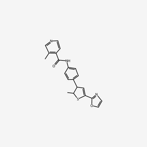 Cc1cnccc1C(=O)Nc1ccc(C2C=C(c3ncco3)SC2C)cc1